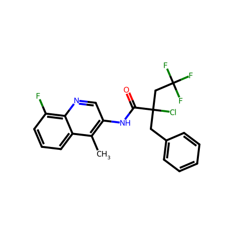 Cc1c(NC(=O)C(Cl)(Cc2ccccc2)CC(F)(F)F)cnc2c(F)cccc12